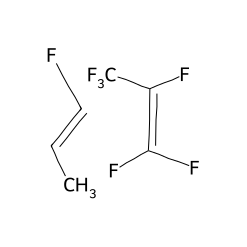 CC=CF.FC(F)=C(F)C(F)(F)F